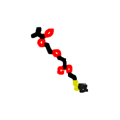 C=C(C)C(=O)OCCOCCC(=O)OCCSCC